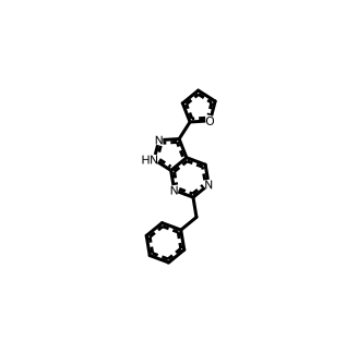 c1ccc(Cc2ncc3c(-c4ccco4)n[nH]c3n2)cc1